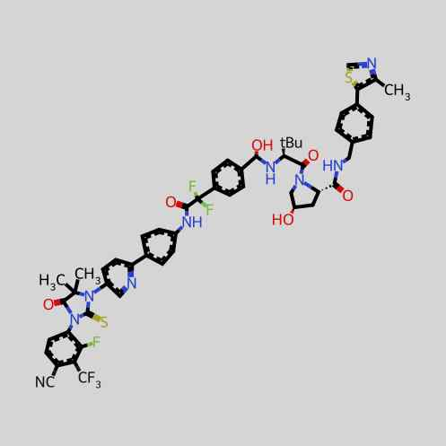 Cc1ncsc1-c1ccc(CNC(=O)[C@@H]2C[C@@H](O)CN2C(=O)[C@@H](NC(O)c2ccc(C(F)(F)C(=O)Nc3ccc(-c4ccc(N5C(=S)N(c6ccc(C#N)c(C(F)(F)F)c6F)C(=O)C5(C)C)cn4)cc3)cc2)C(C)(C)C)cc1